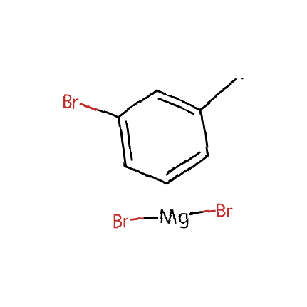 [Br][Mg][Br].[CH2]c1cccc(Br)c1